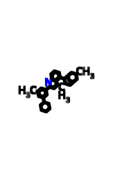 Cc1cc(-c2ccc3c(C4C(C)CC5CC(C)CC4C5)cccc3n2)cc(C2CCCCC2)c1